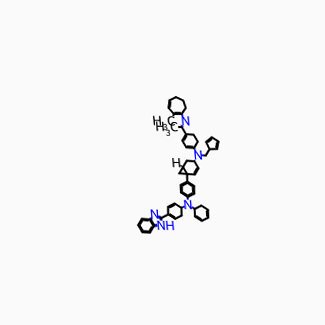 CC1=C(/N=C(\C)C2=CC=C(N(CC3C=CC=C3)[C@@H]3C=CC4(c5ccc(N(C6C=CC=CC6)C6C=CC(c7nc8ccccc8[nH]7)=CC6)cc5)C[C@@H]4C3)CC2)CCCC=C1